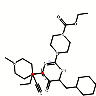 CCOC(=O)/N=C(\NC(CC1CCCCC1)C(=O)NC1(C#N)CCN(C)CC1)N1CCN(C(=O)OCC)CC1